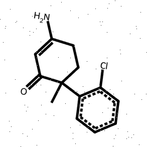 CC1(c2ccccc2Cl)CCC(N)=CC1=O